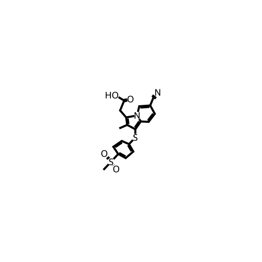 Cc1c(Sc2ccc(S(C)(=O)=O)cc2)c2ccc(C#N)cn2c1CC(=O)O